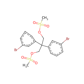 CS(=O)(=O)OCC(COS(C)(=O)=O)(c1cccc(Br)c1)c1cccc(Br)c1